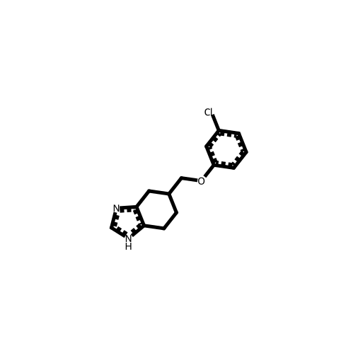 Clc1cccc(OCC2CCc3[nH]cnc3C2)c1